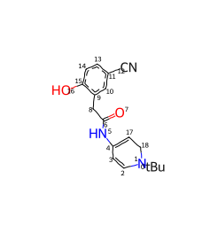 CC(C)(C)N1C=CC(NC(=O)Cc2cc(C#N)ccc2O)=CC1